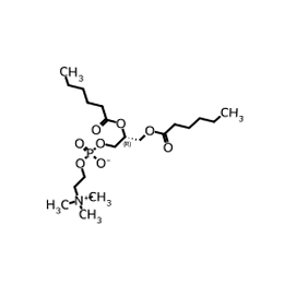 CCCCCC(=O)OC[C@H](COP(=O)([O-])OCC[N+](C)(C)C)OC(=O)CCCCC